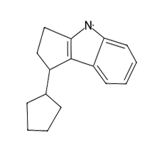 c1ccc2c(c1)[N]C1=C2C(C2CCCC2)CC1